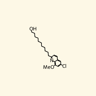 COc1cc(Cl)cc2ccc(CCCCCCCCCCCO)nc12